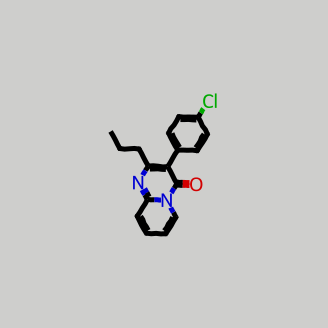 CCCc1nc2ccccn2c(=O)c1-c1ccc(Cl)cc1